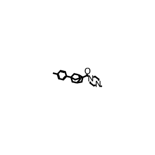 Cc1ccc(C23CC4CC(C2)C(C(=O)N2CCN(C)CC2)(C4)C3)cc1